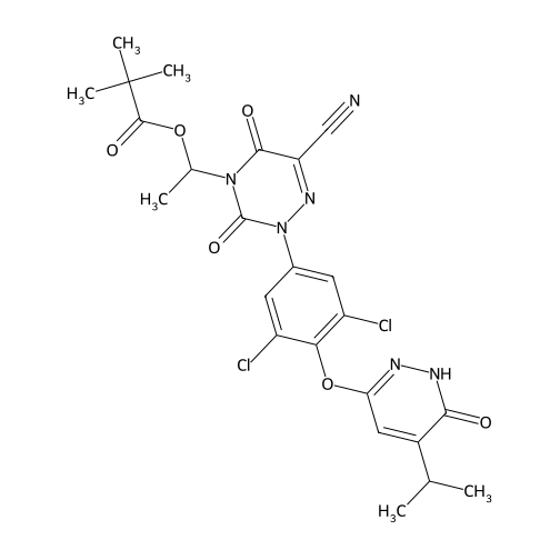 CC(C)c1cc(Oc2c(Cl)cc(-n3nc(C#N)c(=O)n(C(C)OC(=O)C(C)(C)C)c3=O)cc2Cl)n[nH]c1=O